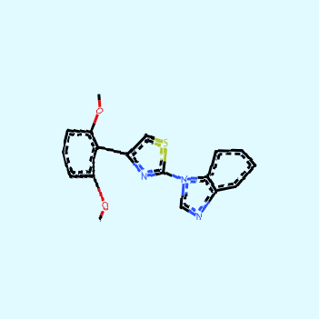 COc1cccc(OC)c1-c1csc(-n2cnc3ccccc32)n1